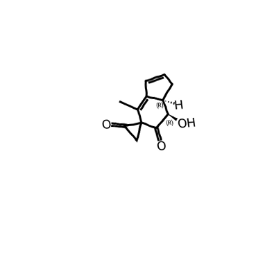 CC1=C2C=CC[C@H]2[C@@H](O)C(=O)C12CC2=O